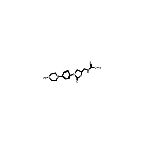 COC(=S)NCC1CN(c2ccc(N3CCN(C(C)=O)CC3)cc2)C(=O)O1